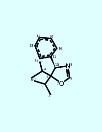 CC(C)C1(C(C)C)OC=N[C@@H]1c1ccccc1